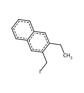 CCc1cc2ccccc2cc1CI